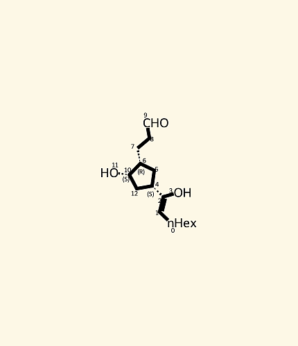 CCCCCCC=C(O)[C@H]1C[C@@H](CCC=O)[C@@H](O)C1